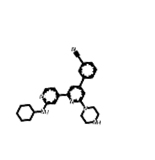 N#Cc1cccc(-c2cc(-c3ccnc(NC4CCCCC4)c3)nc(N3CCNCC3)c2)c1